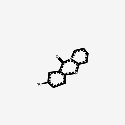 N#Cc1ccc2nc3ccccn3c(=O)c2c1